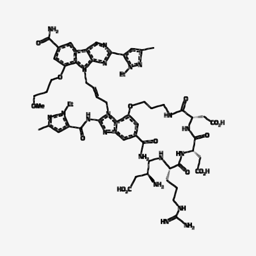 CCn1nc(C)cc1C(=O)Nc1nc2cc(C(N)=O)cc(OCCCNC(=O)[C@H](CC(=O)O)NC(=O)[C@H](CC(=O)O)NC(=O)[C@H](CCCNC(=N)N)NC[C@@H](N)CC(=O)O)c2n1C/C=C/Cn1c2nc(-c3cc(C)nn3CC)ncc2c2cc(C(N)=O)cc(OCCCOC)c21